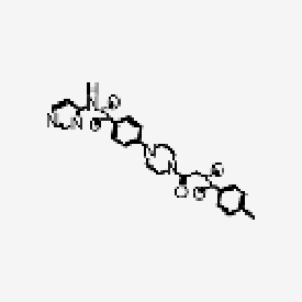 Cc1ccc(S(=O)(=O)CC(=O)N2CCN(c3ccc(S(=O)(=O)Nc4ccncn4)cc3)CC2)cc1